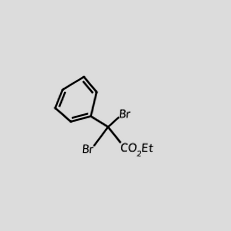 CCOC(=O)C(Br)(Br)c1ccccc1